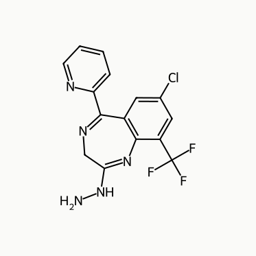 NNC1=Nc2c(cc(Cl)cc2C(F)(F)F)C(c2ccccn2)=NC1